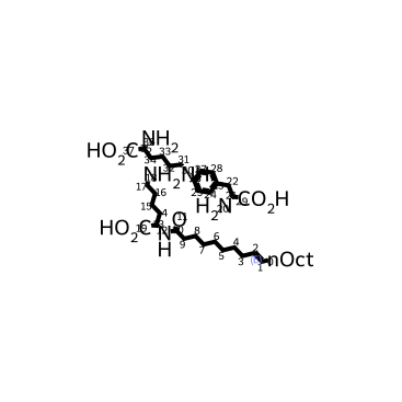 CCCCCCCC/C=C/CCCCCCCC(=O)NC(CCCCN)C(=O)O.NC(Cc1ccccc1)C(=O)O.NCCCCC(N)C(=O)O